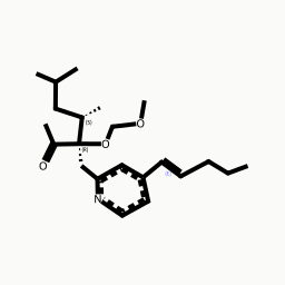 CCC/C=C/c1ccnc(C[C@](OCOC)(C(C)=O)[C@@H](C)CC(C)C)c1